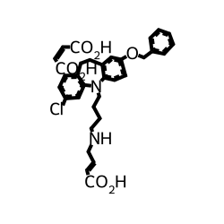 O=C(O)/C=C/CNCCCCN1c2ccc(OCc3ccccc3)cc2CCc2ccc(Cl)cc21.O=C(O)/C=C\C(=O)O